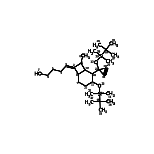 CC1/C(=C/CCCO)C2CCC(O[Si](C)(C)C(C)(C)C)C(C3(O[Si](C)(C)C(C)(C)C)C#C3)C12